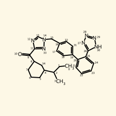 CCC(C)C1CCCC(C(=O)c2ncn(Cc3ccc(-c4ccccc4-c4nnn[nH]4)cc3)n2)C1